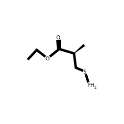 CCOC(=O)[C@@H](C)CSP